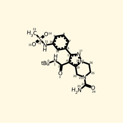 CC(C)(C)NC(=O)c1c(-c2cccc(NS(C)(=O)=O)c2)nn2c1CN(C(N)=O)CC2